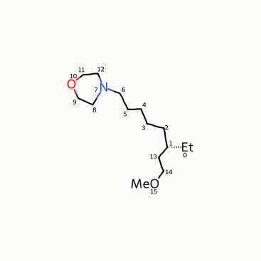 CC[C@@H](CCCCCN1CCOCC1)CCOC